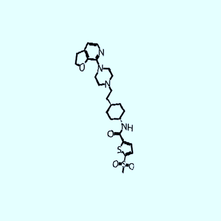 CS(=O)(=O)c1ccc(C(=O)N[C@H]2CC[C@H](CCN3CCN(c4nccc5c4OCC5)CC3)CC2)s1